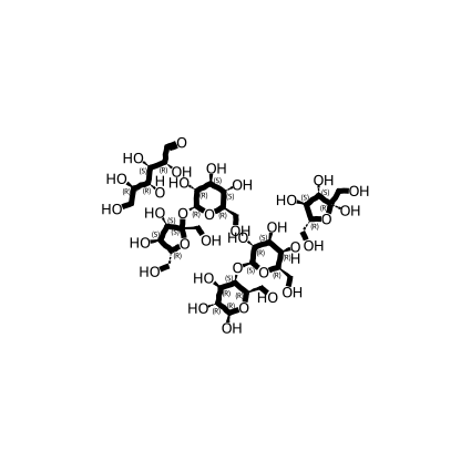 O=C[C@H](O)[C@@H](O)[C@H](O)[C@H](O)CO.OC[C@H]1O[C@@H](O[C@H]2[C@H](O)[C@@H](O)[C@H](O)O[C@@H]2CO)[C@H](O)[C@@H](O)[C@H]1O.OC[C@H]1O[C@@](CO)(O[C@H]2O[C@H](CO)[C@@H](O)[C@H](O)[C@H]2O)[C@@H](O)[C@@H]1O.OC[C@H]1O[C@](O)(CO)[C@@H](O)[C@@H]1O